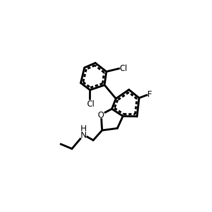 CCNCC1Cc2cc(F)cc(-c3c(Cl)cccc3Cl)c2O1